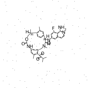 Cc1cc2ccc1[C@@H](C)COC(=O)Nc1cc(C)c(S(=O)(=O)C(C)C)c(c1)CN(C)C(=O)[C@@H]2Nc1cc(F)c2c(N)nccc2c1